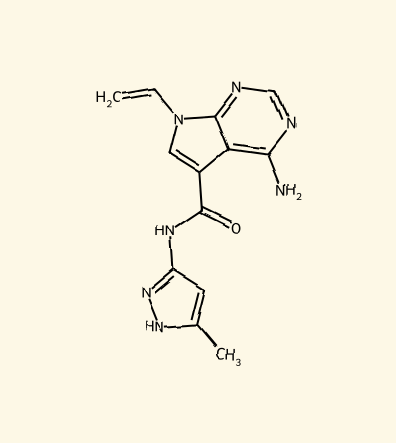 C=Cn1cc(C(=O)Nc2cc(C)[nH]n2)c2c(N)ncnc21